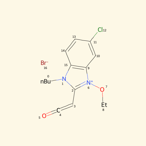 CCCCn1c(C=C=O)[n+](OCC)c2cc(Cl)ccc21.[Br-]